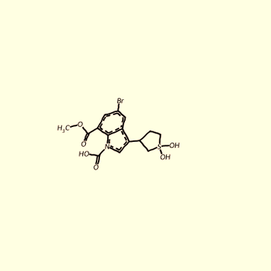 COC(=O)c1cc(Br)cc2c(C3CCS(O)(O)C3)cn(C(=O)O)c12